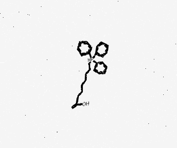 C=C(O)CCCCCCC[PH](c1ccccc1)(c1ccccc1)c1ccccc1